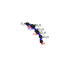 Nc1c(N=Nc2ccc3c(O)c(N=Nc4ccc(N=Nc5ccc(O)cc5)c(S(=O)(=O)O)c4)c(S(=O)(=O)O)cc3c2S(=O)(=O)O)cc(S(=O)(=O)O)c2ccc(N=Nc3ccc([N+](=O)[O-])cc3S(=O)(=O)O)c(O)c12